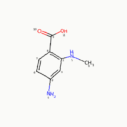 CNc1cc(N)ccc1C(=O)O